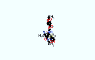 CCC(=O)Oc1ccc(C(=O)OCCNC(=O)C(C)(CC(C)(CC(C)(C)C#N)C(=O)NCC(C)O)SC(=S)c2ccccc2)cc1